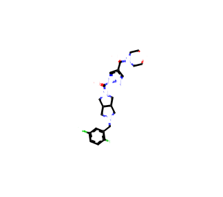 O=C(c1cnn(C(=O)N2CC3CN(Cc4cc(Cl)ccc4Cl)CC3C2)c1)N1CCOCC1